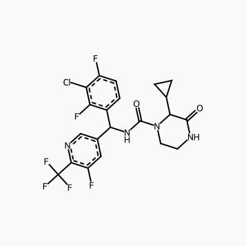 O=C1NCCN(C(=O)NC(c2cnc(C(F)(F)F)c(F)c2)c2ccc(F)c(Cl)c2F)C1C1CC1